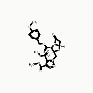 COC(=O)c1nnn(C[C@]2(C)S[C@H]3CC(=O)N3[C@@H]2C(=O)OCc2ccc(OC)cc2)c1C(=O)OC